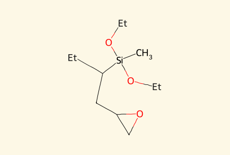 CCO[Si](C)(OCC)C(CC)CC1CO1